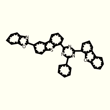 c1ccc(-c2nc(-c3cccc4c3oc3ccccc34)nc(-c3cccc4c3sc3ccc(-c5nc6ccccc6o5)cc34)n2)cc1